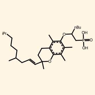 CCCCC(CP(=O)(O)O)Oc1c(C)c(C)c2c(c1C)CCC(C)(C=CCC(C)CCCC(C)C)O2